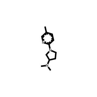 Cc1ccc(N2CCC(N(C)C)C2)nc1